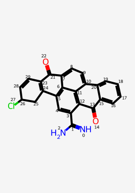 N=C(N)c1cc2c3c(ccc4c3c1C(=O)c1ccccc1-4)C(=O)C1=C2CC(Cl)C=C1